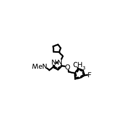 CNCc1cc(OCc2ccc(F)cc2C)n(CC2CCCC2)n1